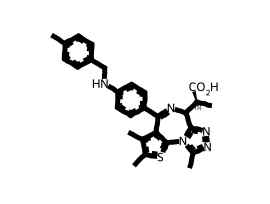 Cc1ccc(CNc2ccc(C3=NC([C@H](C)C(=O)O)c4nnc(C)n4-c4sc(C)c(C)c43)cc2)cc1